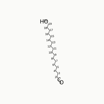 O=C=CCCCCCCCCCCCCCCCCCO